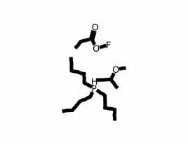 CCC(=O)OF.CCCC[PH](CCCC)(CCCC)CC(C)OC